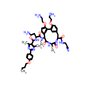 CCCCOc1ccc(-c2nc(C)c(C(=O)NC(CCN)C(=O)N(C)C3C(=O)NC(C)C(=O)NC(C(=O)NCC#N)Cc4ccc(OCCN)c(c4)-c4cc3ccc4OCCN)c(C)n2)cc1